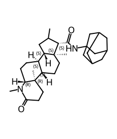 CC1C[C@H]2[C@@H]3CC[C@H]4N(C)C(=O)CC[C@]4(C)[C@H]3CC[C@]2(C)[C@H]1C(=O)NC12CC3CC(CC(C3)C1)C2